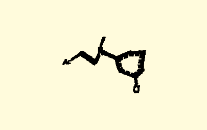 CC(=O)C=CN(C)c1cccc(Cl)c1